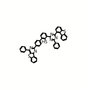 Sc1c(-c2ccc(-c3nc(-c4ccccc4)c4sc5ccccc5c4n3)cc2)cccc1-c1nc(-c2ccccc2)nc(-c2cccc3sc4ccccc4c23)n1